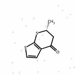 C[C@@H]1CC(=O)c2ccsc2S1